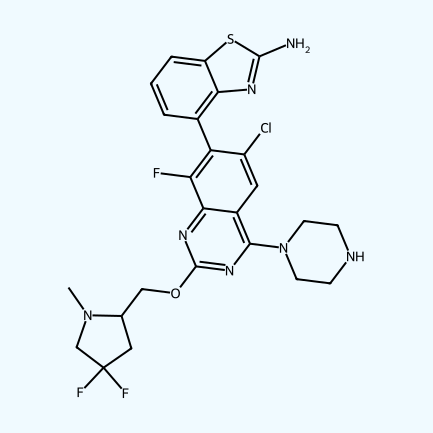 CN1CC(F)(F)CC1COc1nc(N2CCNCC2)c2cc(Cl)c(-c3cccc4sc(N)nc34)c(F)c2n1